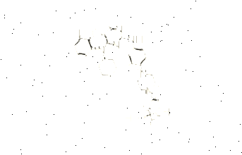 Cc1cnc(Nc2ccc(N3CCN(C(=O)OC(C)(C)C)CC3)cc2)nc1N(c1ccccc1)C1CCCCC1